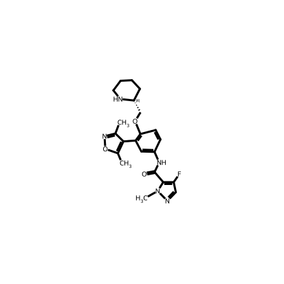 Cc1noc(C)c1-c1cc(NC(=O)c2c(F)cnn2C)ccc1OC[C@H]1CCCCN1